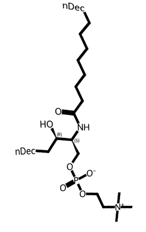 CCCCCCCCCCCCCCCCCC(=O)N[C@@H](COP(=O)([O-])OCC[N+](C)(C)C)[C@H](O)CCCCCCCCCCC